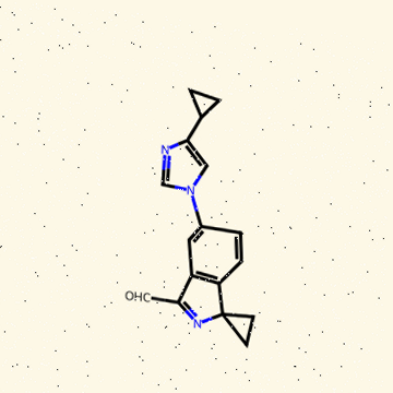 O=CC1=NC2(CC2)c2ccc(-n3cnc(C4CC4)c3)cc21